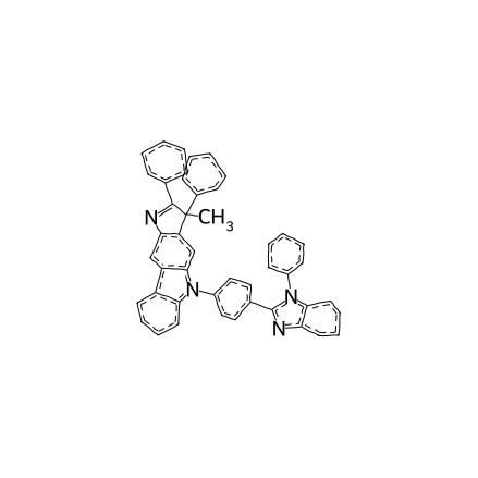 CC1(c2ccccc2)C(c2ccccc2)=Nc2cc3c4ccccc4n(-c4ccc(-c5nc6ccccc6n5-c5ccccc5)cc4)c3cc21